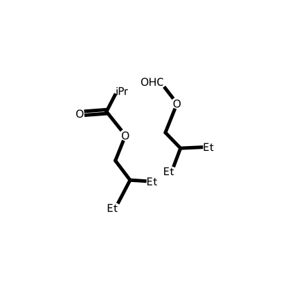 CCC(CC)COC(=O)C(C)C.CCC(CC)COC=O